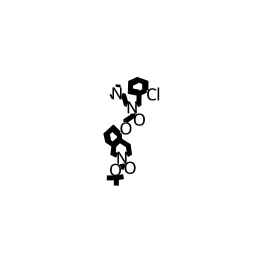 CN(C)CCN(Cc1ccccc1Cl)C(=O)COc1cccc2c1CCN(C(=O)OC(C)(C)C)C2